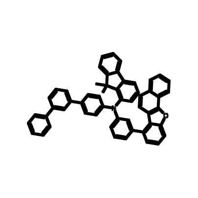 CC1(C)c2ccccc2-c2cccc(N(c3ccc(-c4cccc(-c5ccccc5)c4)cc3)c3cccc(-c4cccc5oc6c7ccccc7ccc6c45)c3)c21